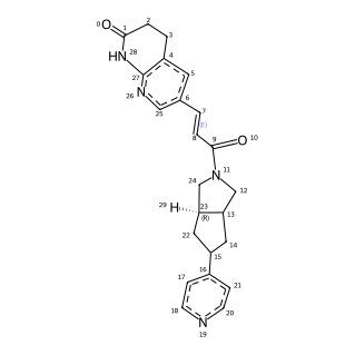 O=C1CCc2cc(/C=C/C(=O)N3CC4CC(c5ccncc5)C[C@H]4C3)cnc2N1